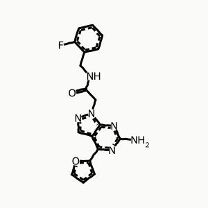 Nc1nc(-c2ccco2)c2cnn(CC(=O)NCc3ccccc3F)c2n1